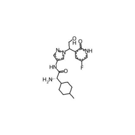 CC1CCC([C@H](N)C(=O)Nc2cnn(C(CO)c3cc(F)c[nH]c3=O)c2)CC1